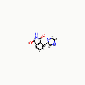 O=C1NC(=O)c2c1cccc2-c1cnccn1